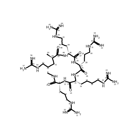 CNC(=O)[C@@H](CCCNC(=N)N)NC(=O)[C@@H](CCCCNC(=N)N)NC(=O)[C@@H](CCCNC(=N)N)NC(=O)[C@@H](CCCNC(=N)N)NC(=O)[C@H](C)CCCNC(=N)N